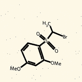 COc1ccc(S(=O)(=O)C(C)Br)c(OC)c1